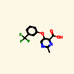 Cc1ncc(Oc2cccc(C(F)(F)F)c2)c(C(=O)O)n1